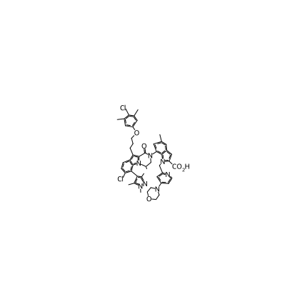 Cc1cc(N2CC(C)n3c(c(CCCOc4cc(C)c(Cl)c(C)c4)c4ccc(Cl)c(-c5c(C)nn(C)c5C)c43)C2=O)c2c(c1)cc(C(=O)O)n2Cc1cc(N2CCOCC2)ccn1